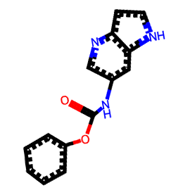 O=C(Nc1cnc2cc[nH]c2c1)Oc1ccccc1